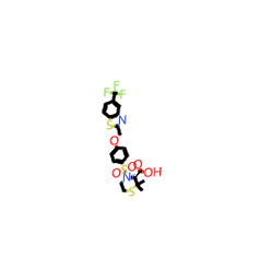 CC1(C)SCCN(S(=O)(=O)c2ccc(OCc3nc4cc(C(F)(F)F)ccc4s3)cc2)[C@H]1C(=O)O